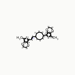 Cc1sc(/C=C/C2CCCC(c3sc(C)c4c3OCCO4)CCC2)c2c1OCCO2